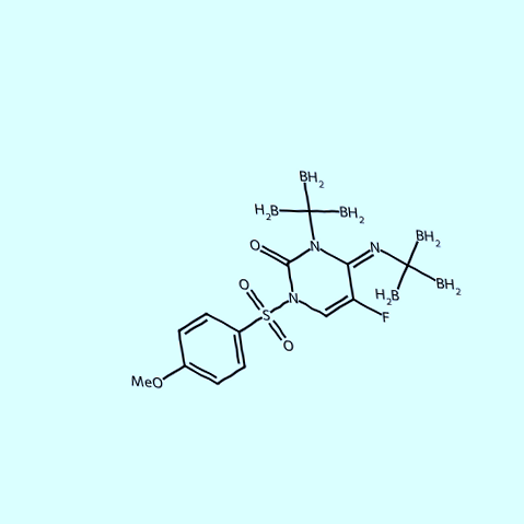 BC(B)(B)/N=c1\c(F)cn(S(=O)(=O)c2ccc(OC)cc2)c(=O)n1C(B)(B)B